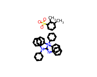 Cc1cccc(S(=O)(=O)[O-])c1C.c1ccc(N=C(N(c2ccccc2)c2ccccc2)[N+](c2ccccc2)(c2ccccc2)c2ccccc2)cc1